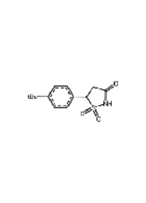 CC(C)(C)c1ccc(C2CC(=O)NS2(=O)=O)cc1